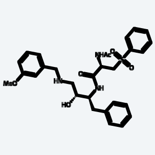 COc1cccc(CNC[C@@H](O)[C@H](Cc2ccccc2)NC(=O)[C@H](CS(=O)(=O)c2ccccc2)NC(C)=O)c1